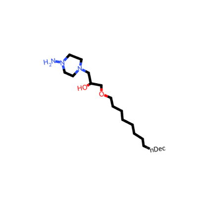 CCCCCCCCCCCCCCCCCCOCC(O)CN1CCN(N)CC1